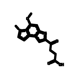 COc1cc2sc(C(=O)CCC(=O)O)cc2c2ccn(C)c12